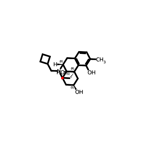 Cc1ccc2c(c1O)[C@]13CCN(CC4CCC4)[C@H](C2)[C@]1(O)CC[C@H](O)C3